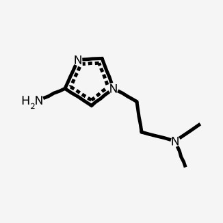 CN(C)CCn1cnc(N)c1